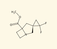 COC(=O)C12CCN1C[C@@]1(C2)CC1(F)F